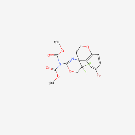 CC(C)(C)OC(=O)N(C(=O)OC(C)(C)C)C1=NC2(c3cc(Br)ccc3OCC23CC3)C(F)(F)CO1